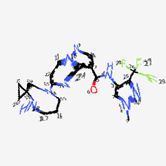 Cn1cc(NC(=O)c2cnn3ccc(N4CCCNC5(CC5)C4)nc23)c(C(F)(F)F)n1